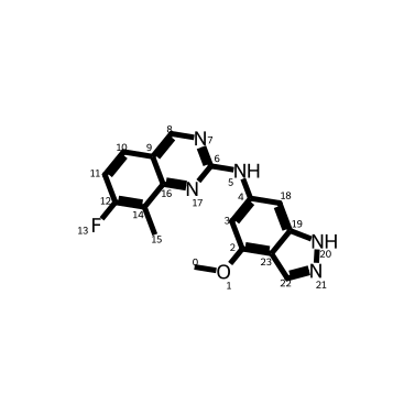 COc1cc(Nc2ncc3ccc(F)c(C)c3n2)cc2[nH]ncc12